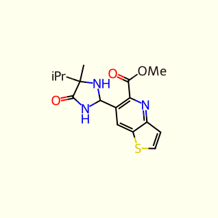 COC(=O)c1nc2ccsc2cc1C1NC(=O)C(C)(C(C)C)N1